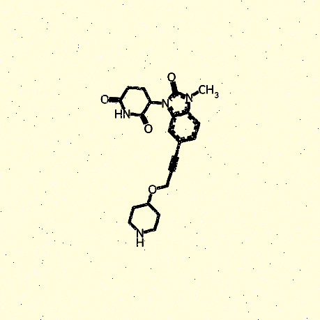 Cn1c(=O)n(C2CCC(=O)NC2=O)c2cc(C#CCOC3CCNCC3)ccc21